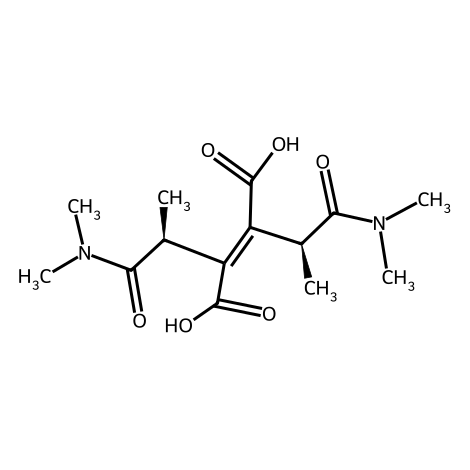 C[C@H](C(=O)N(C)C)C(C(=O)O)=C(C(=O)O)[C@H](C)C(=O)N(C)C